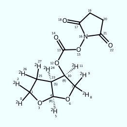 [2H]C1([2H])O[C@]2([2H])OC([2H])([2H])[C@]([2H])(OC(=O)ON3C(=O)CCC3=O)[C@]2([2H])C1([2H])[2H]